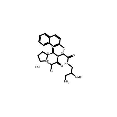 CCC(CC)C(=O)N(C(=O)[C@@H]1CCCN1)[C@H](Cc1ccc2ccccc2c1)C(=O)NCC(CN)OC.Cl